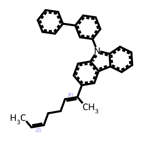 C/C=C\CC/C=C(\C)c1ccc2c(c1)c1ccccc1n2-c1cccc(-c2ccccc2)c1